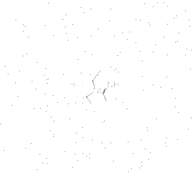 CCN.CCNCC.Cl